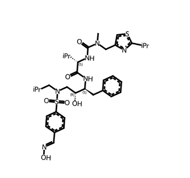 CC(C)CN(C[C@@H](O)[C@H](Cc1ccccc1)NC(=O)[C@@H](NC(=O)N(C)Cc1csc(C(C)C)n1)C(C)C)S(=O)(=O)c1ccc(C=NO)cc1